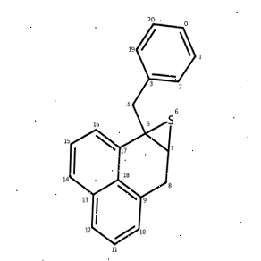 c1ccc(CC23SC2Cc2cccc4cccc3c24)cc1